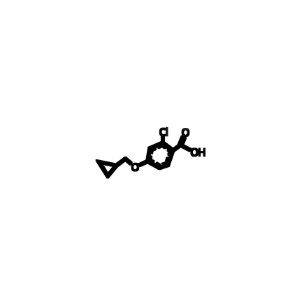 O=C(O)c1ccc(OCC2CC2)cc1Cl